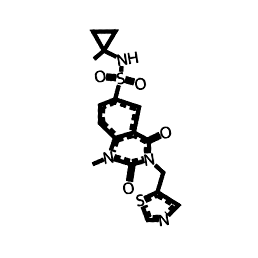 Cn1c(=O)n(Cc2cncs2)c(=O)c2cc(S(=O)(=O)NC3(C)CC3)ccc21